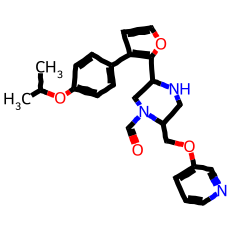 CC(C)Oc1ccc(-c2ccoc2C2CN(C=O)C(COc3cccnc3)CN2)cc1